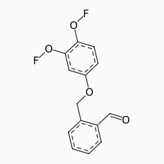 O=Cc1ccccc1COc1ccc(OF)c(OF)c1